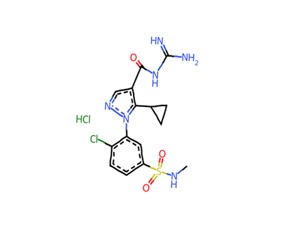 CNS(=O)(=O)c1ccc(Cl)c(-n2ncc(C(=O)NC(=N)N)c2C2CC2)c1.Cl